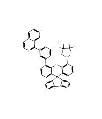 CC1(C)CB(c2cccc3c2Oc2c(-c4cccc(-c5nccc6ccccc56)c4)cccc2C32c3ccccc3-c3ccccc32)OC1(C)C